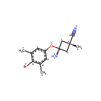 Cc1cc(O[C@]2(N)C[C@](C)(C#N)C2)cc(C)c1Br